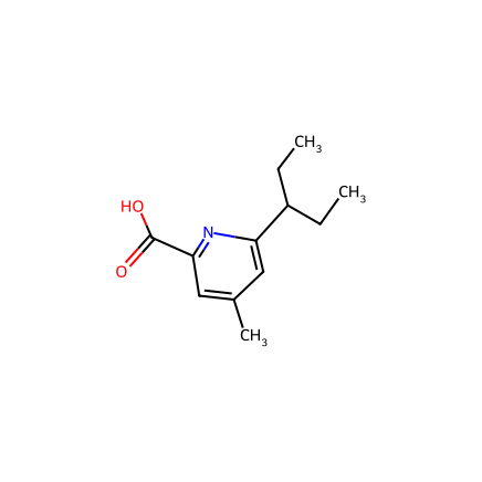 CCC(CC)c1cc(C)cc(C(=O)O)n1